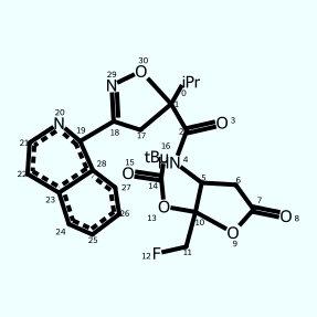 CC(C)C1(C(=O)NC2CC(=O)OC2(CF)OC(=O)C(C)(C)C)CC(c2nccc3ccccc23)=NO1